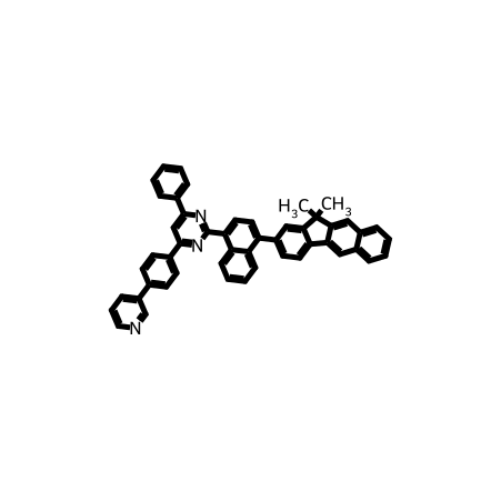 CC1(C)c2cc(-c3ccc(-c4nc(-c5ccccc5)cc(-c5ccc(-c6cccnc6)cc5)n4)c4ccccc34)ccc2-c2cc3ccccc3cc21